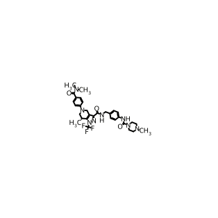 C[C@H]1CN(c2ccc(C(=O)N(C)C)cc2)Cc2c(C(=O)NCc3ccc(NC(=O)N4CCN(C)CC4)cc3)nn(C(F)(F)F)c21